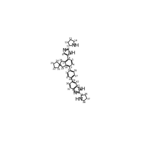 c1cc(-c2ccc(-c3cnc([C@@H]4CCCN4)[nH]3)c3c2CC2(CCCC2)C3)ccc1-c1ccc2nc([C@@H]3CCCN3)[nH]c2c1